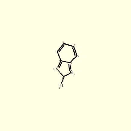 CCC1N=c2[c]cccc2=N1